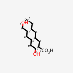 CC(C)CCCCCCC(=O)O.OCCCCCCO